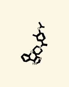 C=C(c1ccc(OC(C)C)c(C)c1)N1CCC2(CC1)Oc1ccccc1-c1[nH]cnc12